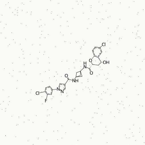 O=C(NC12CC(NC(=O)[C@H]3C[C@@H](O)c4cc(Cl)ccc4O3)(C1)C2)c1cnn(-c2ccc(Cl)c(F)c2)c1